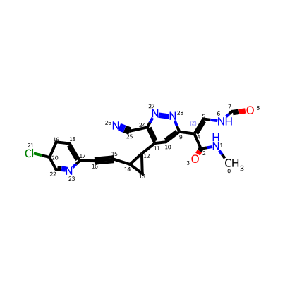 CNC(=O)/C(=C\NC=O)c1cc(C2CC2C#CC2=CCC(Cl)C=N2)c(C#N)nn1